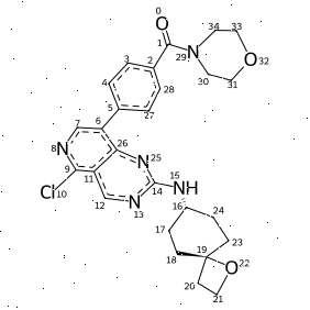 O=C(c1ccc(-c2cnc(Cl)c3cnc(N[C@H]4CC[C@@]5(CCO5)CC4)nc23)cc1)N1CCOCC1